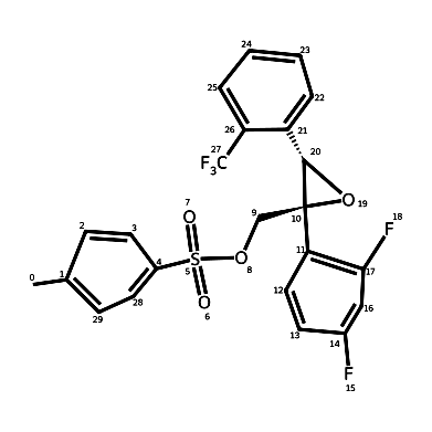 Cc1ccc(S(=O)(=O)OC[C@]2(c3ccc(F)cc3F)O[C@H]2c2ccccc2C(F)(F)F)cc1